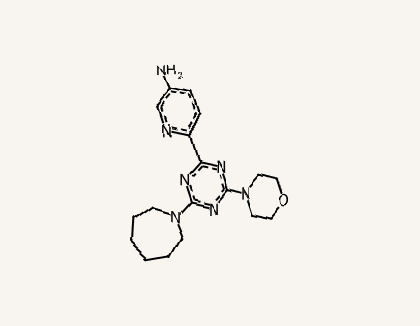 Nc1ccc(-c2nc(N3CCCCCC3)nc(N3CCOCC3)n2)nc1